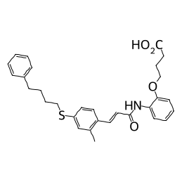 Cc1cc(SCCCCc2ccccc2)ccc1C=CC(=O)Nc1ccccc1OCCCC(=O)O